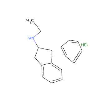 CCNC1Cc2ccccc2C1.Cl.c1ccccc1